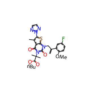 C=C(Cn1c(=O)n(C(C)(C)C(=O)OCCCC)c(=O)c2c(C)c(-n3nccn3)sc21)c1cc(F)ccc1OC